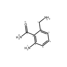 NCc1cccc(N)c1C(N)=O